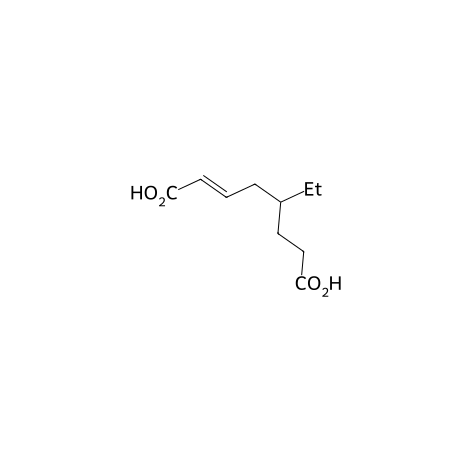 CCC(C/C=C/C(=O)O)CCC(=O)O